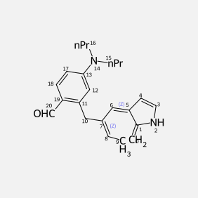 C=c1[nH]cc/c1=C/C(=C\C)Cc1cc(N(CCC)CCC)ccc1C=O